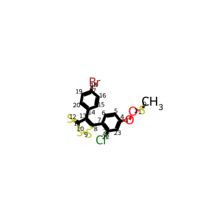 CSOOc1ccc(-c2ssc(=S)c2-c2ccc(Br)cc2)c(Cl)c1